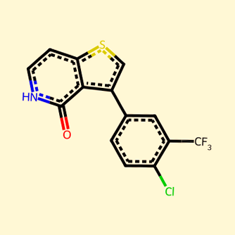 O=c1[nH]ccc2scc(-c3ccc(Cl)c(C(F)(F)F)c3)c12